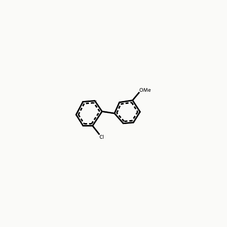 COc1cccc(-c2[c]cccc2Cl)c1